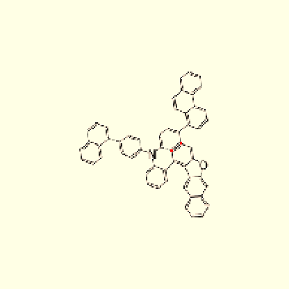 c1ccc(N(c2ccc(-c3cccc4ccccc34)cc2)c2ccc(-c3cccc4c3ccc3ccccc34)cc2)c(-c2cccc3oc4cc5ccccc5cc4c23)c1